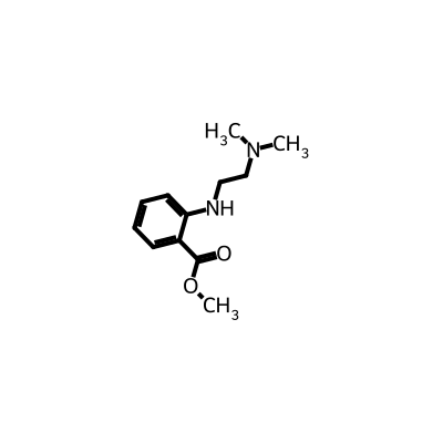 COC(=O)c1ccccc1NCCN(C)C